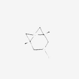 CC(C)N1C[C@@H]2C[N+]23C[C@@H]3C1